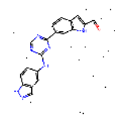 O=Cc1cc2ccc(-c3ncnc(Nc4ccc5[nH]ncc5c4)n3)cc2[nH]1